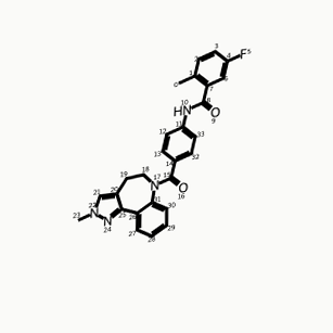 Cc1ccc(F)cc1C(=O)Nc1ccc(C(=O)N2CCc3cn(C)nc3-c3ccccc32)cc1